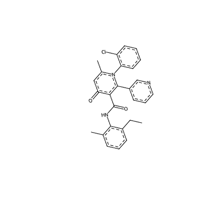 CCc1cccc(C)c1NC(=O)c1c(-c2cccnc2)n(-c2ccccc2Cl)c(C)cc1=O